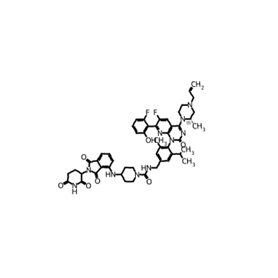 C=CCN1CCN(c2nc(=O)n(-c3c(C)cc(CNC(=O)N4CCC(Nc5cccc6c5C(=O)N(C5CCC(=O)NC5=O)C6=O)CC4)cc3C(C)C)c3nc(-c4c(O)cccc4F)c(F)cc23)[C@@H](C)C1